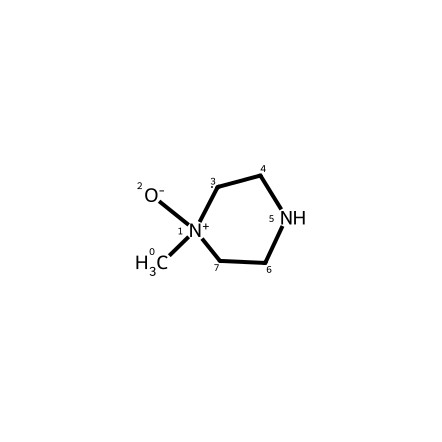 C[N+]1([O-])[CH]CNCC1